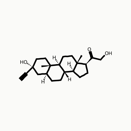 C#C[C@@]1(O)CC[C@@]2(C)[C@@H](CC[C@@H]3[C@@H]2CC[C@]2(C)[C@@H](C(=O)CO)CC[C@@H]32)C1